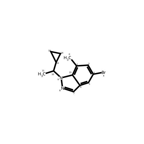 Cc1cc(Br)cc2cnn(C(C)C3CC3)c12